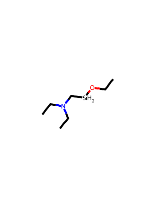 CCO[SiH2]CN(CC)CC